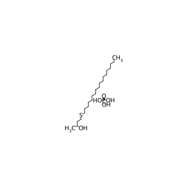 CCCCCCCCCCCCCCCCCCSCCC(C)O.O=P(O)(O)O